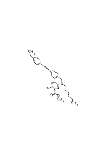 CCCCCCN(Cc1ccc(C#Cc2ccc(CC)cc2)cc1)c1ccc(F)c(C(=O)OC)c1